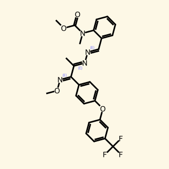 CO/N=C(/C(C)=N/N=C/c1ccccc1N(C)C(=O)OC)c1ccc(Oc2cccc(C(F)(F)F)c2)cc1